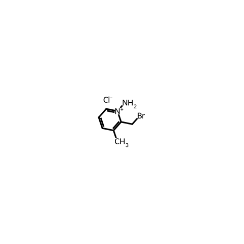 Cc1ccc[n+](N)c1CBr.[Cl-]